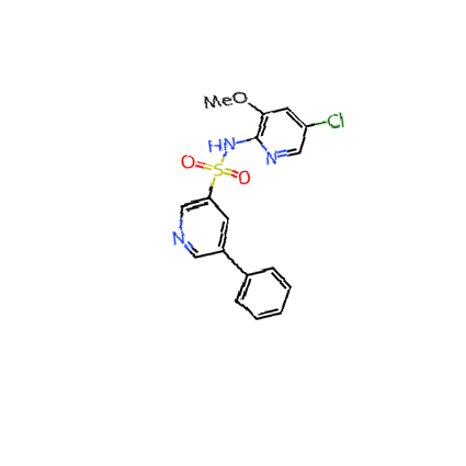 COc1cc(Cl)cnc1NS(=O)(=O)c1cncc(-c2ccccc2)c1